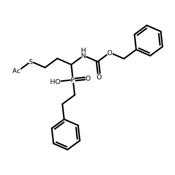 CC(=O)SCCC(NC(=O)OCc1ccccc1)P(=O)(O)CCc1ccccc1